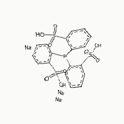 O=S(=O)(O)c1ccccc1P(c1ccccc1S(=O)(=O)O)c1ccccc1S(=O)(=O)O.[Na].[Na].[Na]